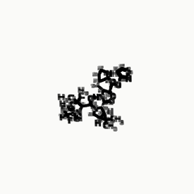 CC(C)(C)[C@H](NS(=O)(=O)C(F)(F)F)C(=O)N1C[C@H]2[C@@H]([C@H]1C(=O)N[C@@H](C[C@@H]1CCNC1=O)C(=O)COc1ccsn1)C2(C)C